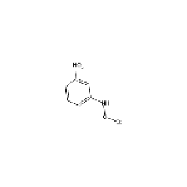 CCONc1cccc([N+](=O)[O-])c1